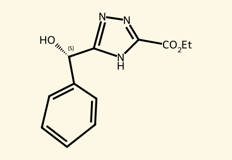 CCOC(=O)c1nnc([C@@H](O)c2ccccc2)[nH]1